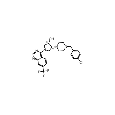 O[C@H]1CN(c2ncnc3cc(C(F)(F)F)ccc23)C[C@@H]1N1CCN(Cc2ccc(Cl)cc2)CC1